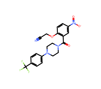 N#CCOc1ccc([N+](=O)[O-])cc1C(=O)N1CCN(c2ccc(C(F)(F)F)cc2)CC1